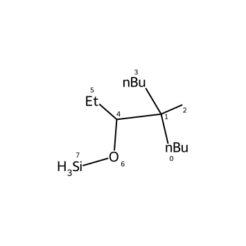 CCCCC(C)(CCCC)C(CC)O[SiH3]